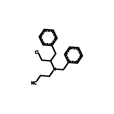 N#CCCN(Cc1ccccc1)C(CCl)Cc1ccccc1